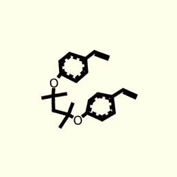 C=Cc1ccc(OC(C)(C)CC(C)(C)Oc2ccc(C=C)cc2)cc1